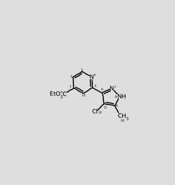 CCOC(=O)c1ccnc(-c2n[nH]c(C)c2Cl)c1